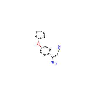 N#C/C=C(/N)c1ccc(Oc2ccccc2)cc1